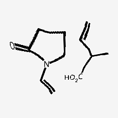 C=CC(C)C(=O)O.C=CN1CCCC1=O